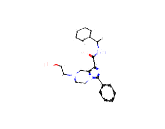 CC(NC(=O)c1nc(-c2ccccc2)n2c1CN(CCO)CC2)C1CCCCC1